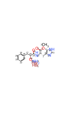 Br.Br.COC(=O)[C@H](Cc1c[nH]cn1)NC(=O)C(Cc1ccccc1)ON